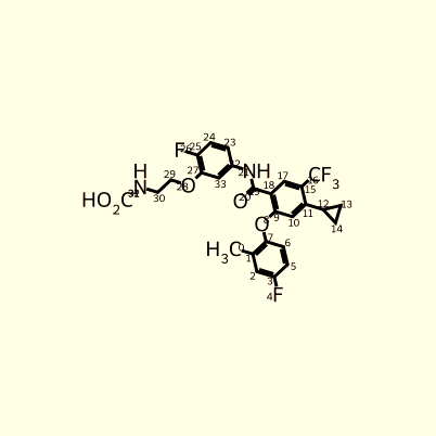 Cc1cc(F)ccc1Oc1cc(C2CC2)c(C(F)(F)F)cc1C(=O)Nc1ccc(F)c(OCCNC(=O)O)c1